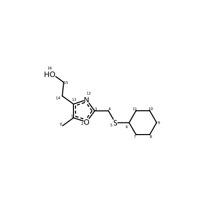 Cc1oc(CSC2CCCCC2)nc1CCO